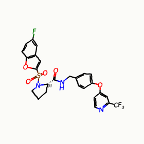 O=C(NCc1ccc(Oc2ccnc(C(F)(F)F)c2)cc1)[C@@H]1CCCN1S(=O)(=O)c1cc2cc(F)ccc2o1